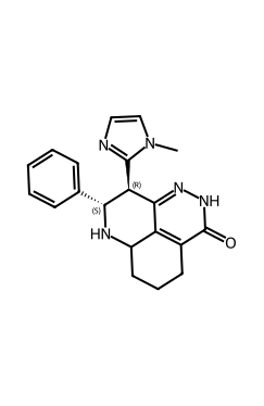 Cn1ccnc1[C@H]1c2n[nH]c(=O)c3c2C(CCC3)N[C@@H]1c1ccccc1